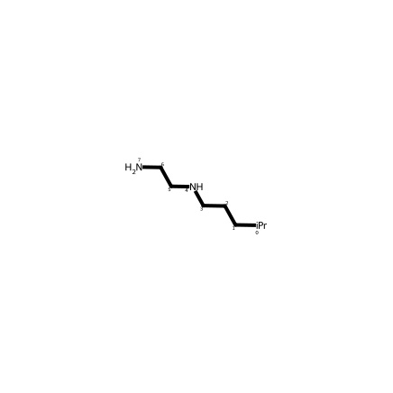 CC(C)CCCNCCN